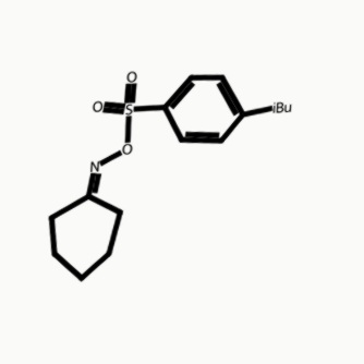 CCC(C)c1ccc(S(=O)(=O)ON=C2CCCCC2)cc1